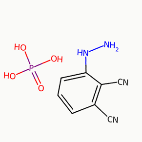 N#Cc1cccc(NN)c1C#N.O=P(O)(O)O